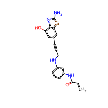 C=CC(=O)Nc1cccc(NCC#Cc2cc(O)c3nc(N)sc3c2)c1